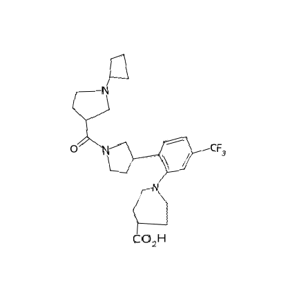 O=C(O)C1CCN(c2cc(C(F)(F)F)ccc2C2CCN(C(=O)C3CCN(C4CCC4)C3)C2)CC1